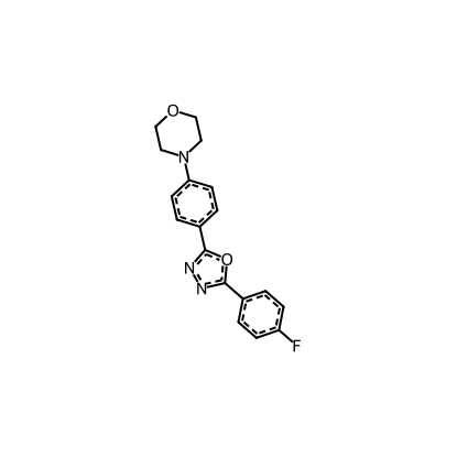 Fc1ccc(-c2nnc(-c3ccc(N4CCOCC4)cc3)o2)cc1